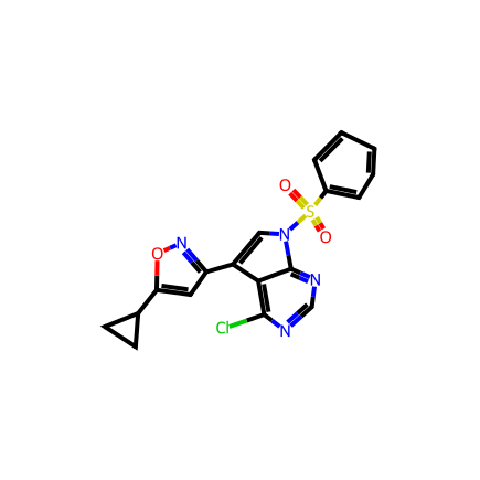 O=S(=O)(c1ccccc1)n1cc(-c2cc(C3CC3)on2)c2c(Cl)ncnc21